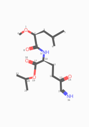 CO[C@@H](CC(C)C)C(=O)N[C@@H](CCC(=O)C=N)C(=O)OC(C)C